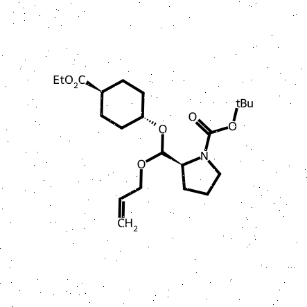 C=CCOC(O[C@H]1CC[C@H](C(=O)OCC)CC1)[C@@H]1CCCN1C(=O)OC(C)(C)C